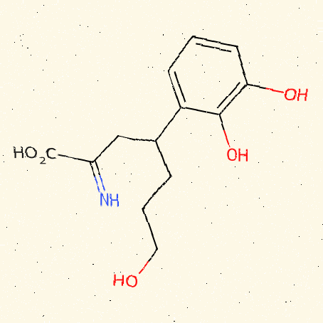 N=C(CC(CCCO)c1cccc(O)c1O)C(=O)O